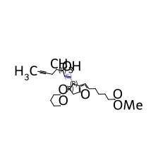 CC#CCC(C)[C@@H](O)/C=C/[C@@H]1c2cc(CCCCC(=O)OC)oc2C[C@H]1OC1CCCCO1